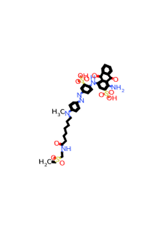 C=CS(=O)(=O)CCNC(=O)CCCCCCCN(C)c1ccc(/N=N/c2ccc(Nc3cc(S(=O)(=O)O)c(N)c4c3C(=O)c3ccccc3C4=O)c(S(=O)(=O)O)c2)cc1